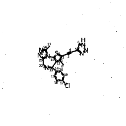 Cc1c(C#Cc2c[nH]nn2)sc2c1C(c1ccc(Cl)cc1)=NCc1nnc(C)n1-2